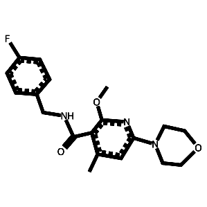 COc1nc(N2CCOCC2)cc(C)c1C(=O)NCc1ccc(F)cc1